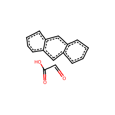 O=CC(=O)O.c1ccc2cc3ccccc3cc2c1